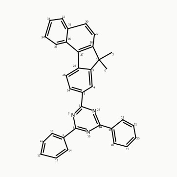 CC1(C)c2cc(-c3nc(-c4ccccc4)nc(-c4ccccc4)n3)ccc2-c2c1ccc1ccccc21